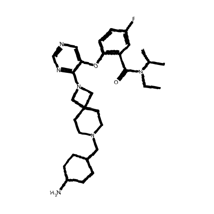 CCN(C(=O)c1cc(F)ccc1Oc1cncnc1N1CC2(CCN(CC3CCC(N)CC3)CC2)C1)C(C)C